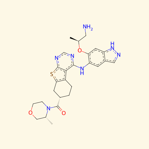 C[C@@H]1COCCN1C(=O)[C@H]1CCc2c(sc3ncnc(Nc4cc5cn[nH]c5cc4O[C@@H](C)CN)c23)C1